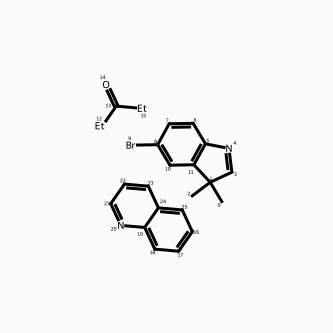 CC1(C)C=Nc2ccc(Br)cc21.CCC(=O)CC.c1ccc2ncccc2c1